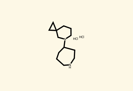 C1CNCCC(N2CCCC3(CC3)C2)C1.Cl.Cl